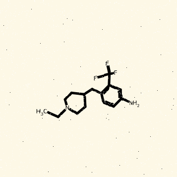 CCN1CCC(Cc2ccc(N)cc2C(F)(F)F)CC1